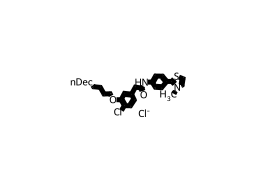 CCCCCCCCCCCCCCOc1cc(CC(=O)Nc2ccc(-c3scc[n+]3C)cc2)ccc1Cl.[Cl-]